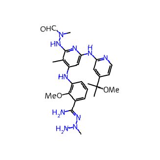 COc1c(Nc2cc(Nc3cc(C(C)(C)OC)ccn3)nc(NN(C)C=O)c2C)cccc1/C(N)=N/N(C)N